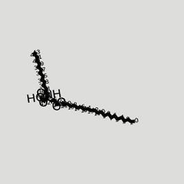 CCCCCCCCCCCCCCCCCCCCCCOC(=O)CC[C@H](NC(=O)CCCCCCCCCCCCC)C(=O)O